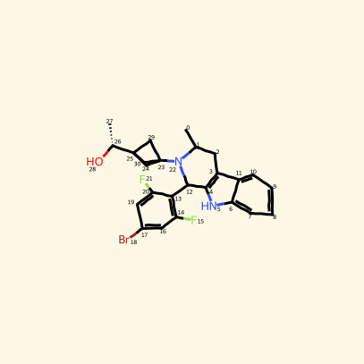 CC1Cc2c([nH]c3ccccc23)C(c2c(F)cc(Br)cc2F)N1C12CC([C@@H](C)O)(C1)C2